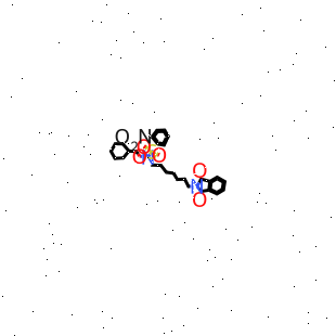 O=C1c2ccccc2C(=O)N1CCCCCCCN(OCC1CCCCC1)S(=O)(=O)c1ccccc1[N+](=O)[O-]